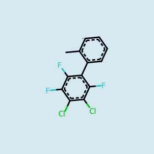 Cc1[c]cccc1-c1c(F)c(F)c(Cl)c(Cl)c1F